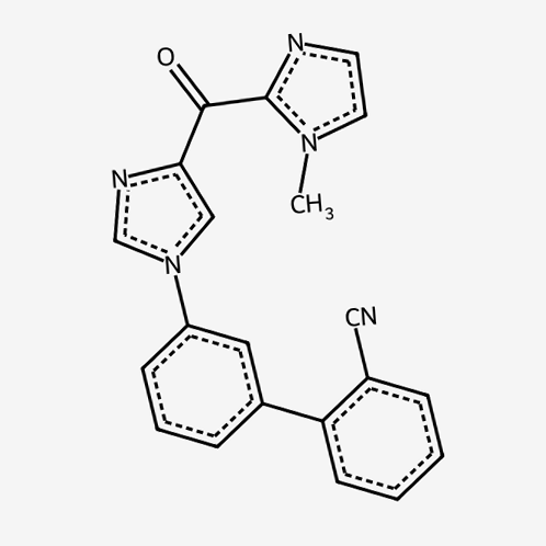 Cn1ccnc1C(=O)c1cn(-c2cccc(-c3ccccc3C#N)c2)cn1